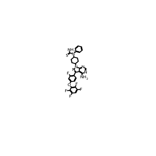 NC(=S)N(c1ccccc1)C1CCC(n2nc(-c3ccc(Oc4c(F)c(F)cc(F)c4F)cc3F)c3c(N)ncnc32)CC1